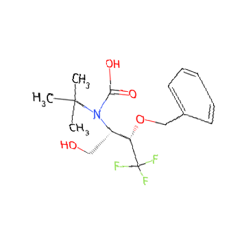 CC(C)(C)N(C(=O)O)[C@@H](CO)[C@H](OCc1ccccc1)C(F)(F)F